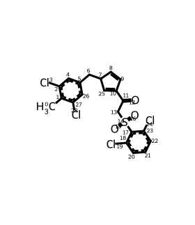 Cc1c(Cl)cc(CC2C=CC(C(=O)CS(=O)(=O)c3c(Cl)cccc3Cl)=C2)cc1Cl